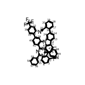 N#Cc1ccccc1-c1ccc2c3ccc(-c4ccccc4C#N)cc3n(-c3cc(-c4ccc(C(F)(F)F)cc4)ccc3-c3nc(-c4ccccc4)nc(-c4ccccc4)n3)c2c1